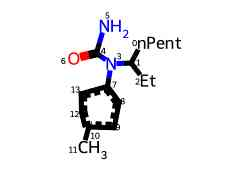 CCCCCC(CC)N(C(N)=O)c1ccc(C)cc1